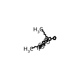 CCCCCCCCOC1(C(=O)Oc2ccc(C(=O)OC(CCCCCC)C(F)(F)F)c(F)c2)C=CC(c2ccccc2)=CC1